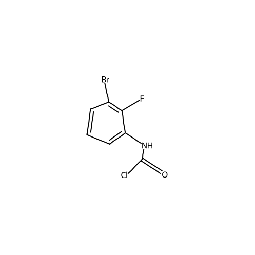 O=C(Cl)Nc1cccc(Br)c1F